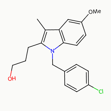 COc1ccc2c(c1)c(C)c(CCCO)n2Cc1ccc(Cl)cc1